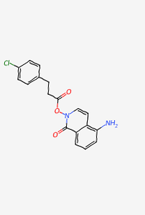 Nc1cccc2c(=O)n(OC(=O)CCc3ccc(Cl)cc3)ccc12